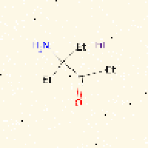 CCC(=O)C(N)(CC)CC.I